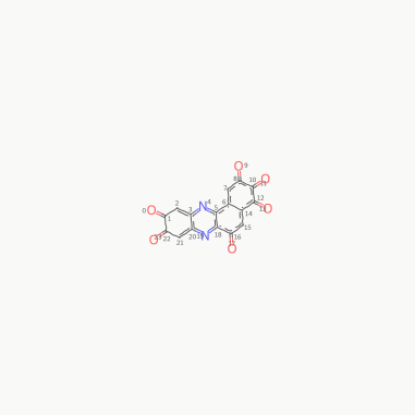 O=C1C=c2nc3c4cc(=O)c(=O)c(=O)c-4cc(=O)c3nc2=CC1=O